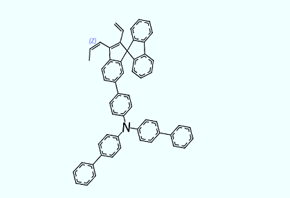 C=CC1=C(/C=C\C)c2ccc(-c3ccc(N(c4ccc(-c5ccccc5)cc4)c4ccc(-c5ccccc5)cc4)cc3)cc2C12c1ccccc1-c1ccccc12